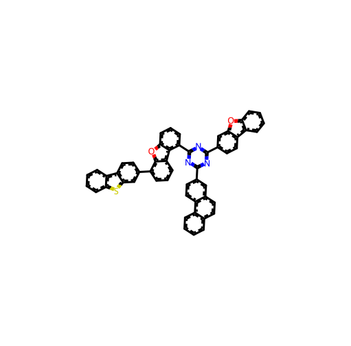 c1ccc2c(c1)ccc1cc(-c3nc(-c4ccc5c(c4)oc4ccccc45)nc(-c4cccc5oc6c(-c7ccc8c(c7)sc7ccccc78)cccc6c45)n3)ccc12